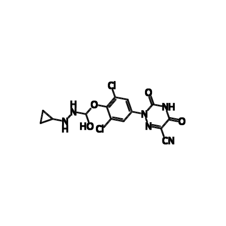 N#Cc1nn(-c2cc(Cl)c(OC(O)NNC3CC3)c(Cl)c2)c(=O)[nH]c1=O